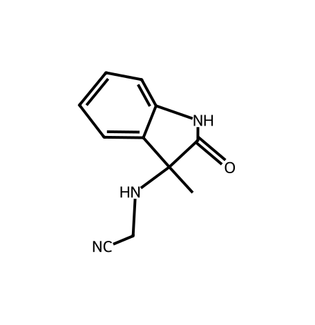 CC1(NCC#N)C(=O)Nc2ccccc21